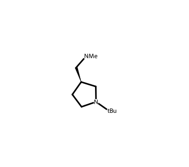 CNC[C@@H]1CCN(C(C)(C)C)C1